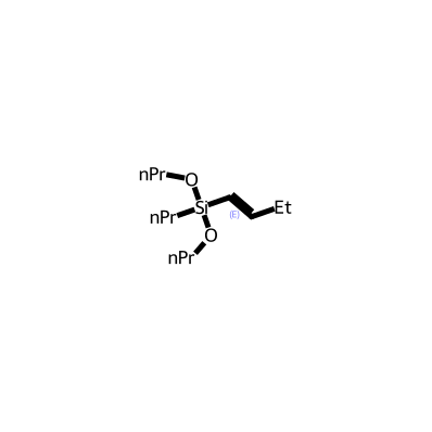 CC/C=C/[Si](CCC)(OCCC)OCCC